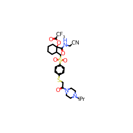 CC(C)N1CCN(C(=O)CSc2ccc(S(=O)(=O)CC3CCCCC3(OC(=O)C(F)(F)F)C(=O)NCC#N)cc2)CC1